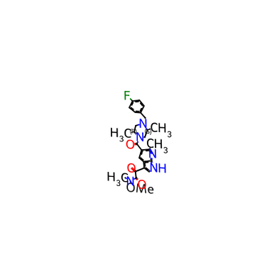 CON(C)C(=O)C(=O)c1c[nH]c2nc(C)c(C(=O)N3C[C@H](C)N(Cc4ccc(F)cc4)C[C@H]3C)cc12